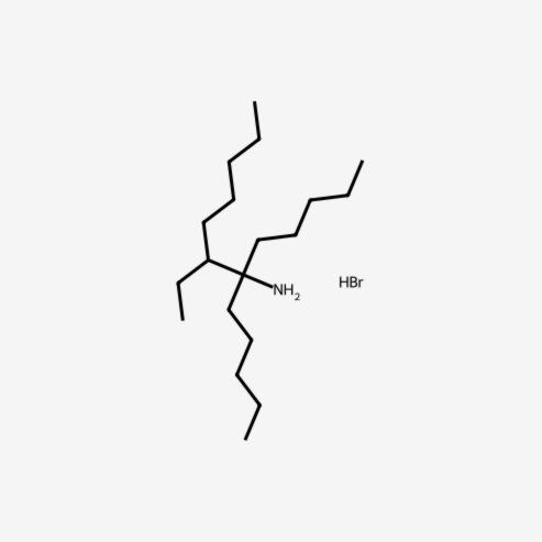 Br.CCCCCC(CC)C(N)(CCCCC)CCCCC